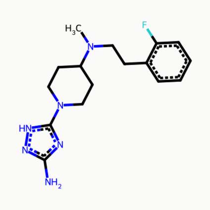 CN(CCc1ccccc1F)C1CCN(c2nc(N)n[nH]2)CC1